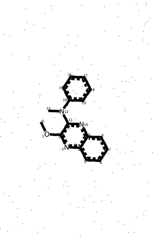 COc1nc2ccccc2nc1N(C)c1ccccc1